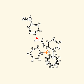 COc1ccc(OC=CC2(P(c3ccccc3)c3ccccc3)CC=CC=C2c2ccccc2)cc1